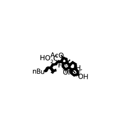 CCCCC=CC(CCC(C(=O)O)=C1[C@@H](OC(C)=O)C[C@@]2(C)[C@@H]1C[C@@H](O)[C@@H]1[C@@]3(C)CC[C@@H](O)[C@@H](C)[C@H]3CC[C@@]12C)=C(C)C